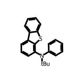 CC(C)(C)N(c1ccccc1)c1cccc2c1sc1ccccc12